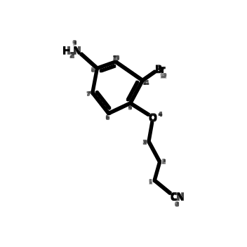 N#CCCCOc1ccc(N)cc1Br